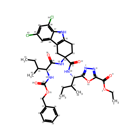 CCOC(=O)c1nnc([C@@H](NC(=O)[C@@]2(NC(=O)[C@@H](NC(=O)OCc3ccccc3)C(C)CC)CCc3[nH]c4c(Cl)cc(Cl)cc4c3C2)C(C)CC)o1